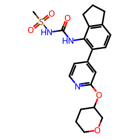 CS(=O)(=O)NC(=O)Nc1c(-c2ccnc(OC3CCCOC3)c2)ccc2c1CCC2